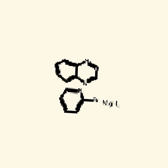 Brc1ccccn1.[MgH2].c1ccc2nccnc2c1